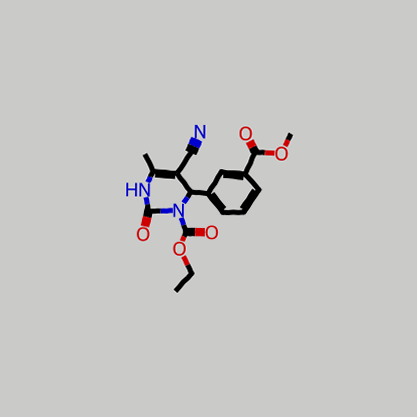 CCOC(=O)N1C(=O)NC(C)=C(C#N)C1c1cccc(C(=O)OC)c1